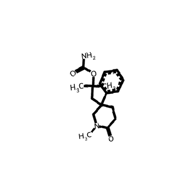 CN1CC(CC(C)(C)OC(N)=O)(c2ccccc2)CCC1=O